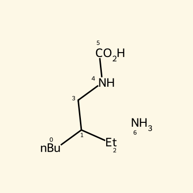 CCCCC(CC)CNC(=O)O.N